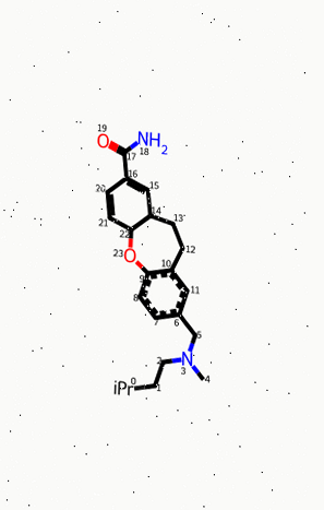 CC(C)CCN(C)Cc1ccc2c(c1)CCC1C=C(C(N)=O)C=CC1O2